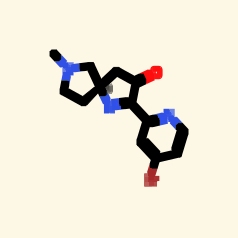 CN1CC[C@]2(CC(=O)C(c3cc(Br)ccn3)=N2)C1